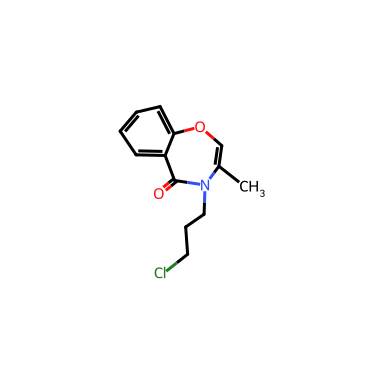 CC1=COc2ccccc2C(=O)N1CCCCl